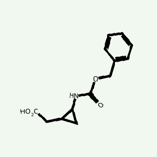 O=C(O)CC1CC1NC(=O)OCc1ccccc1